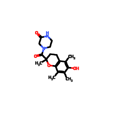 Cc1c(C)c2c(c(C)c1O)CCC(C)(C(=O)N1CCNC(=O)C1)O2